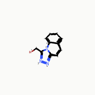 BrCc1nnc2ccc3ccccc3n12